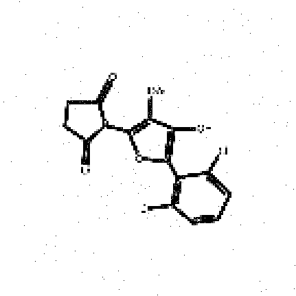 CC(=O)Oc1c(N2C(=O)CCC2=O)oc(-c2c(Cl)cccc2Cl)c1O